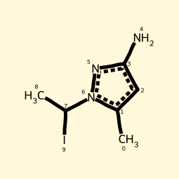 Cc1cc(N)nn1C(C)I